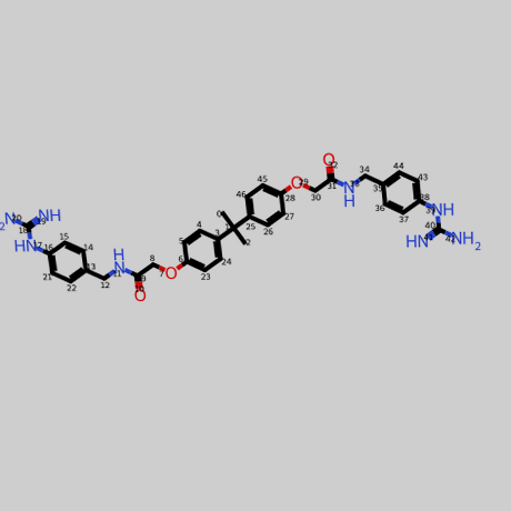 CC(C)(c1ccc(OCC(=O)NCc2ccc(NC(=N)N)cc2)cc1)c1ccc(OCC(=O)NCc2ccc(NC(=N)N)cc2)cc1